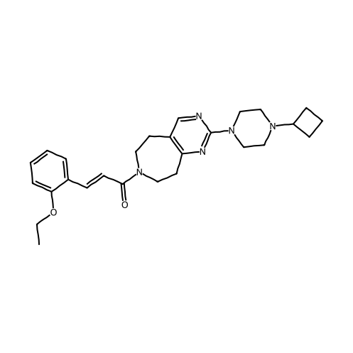 CCOc1ccccc1C=CC(=O)N1CCc2cnc(N3CCN(C4CCC4)CC3)nc2CC1